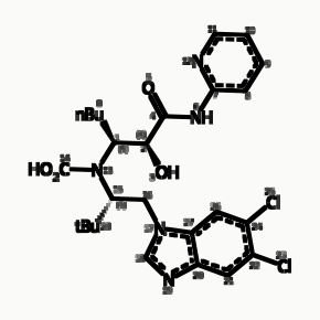 CCCC[C@@H]([C@H](O)C(=O)Nc1ccccn1)N(C(=O)O)[C@H](Cn1cnc2cc(Cl)c(Cl)cc21)C(C)(C)C